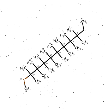 CCC(C)(C)C(C)(C)C(C)(C)C(C)(C)C(C)(C)C(C)(C)C(C)(C)C(C)(C)SC